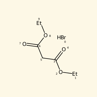 Br.CCOC(=O)CC(=O)OCC